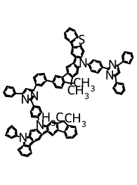 CC1(C)c2ccc(-c3cccc(-c4cc(-c5ccccc5)nc(-c5ccc(-n6c7cc8c(cc7c7cc9c%10ccccc%10n(-c%10ccccc%10)c9cc76)-c6ccccc6C8(C)C)cc5)n4)c3)cc2-c2cc3c4cc5c(cc4n(-c4ccc(-c6nc(-c7ccccc7)cc(-c7ccccc7)n6)cc4)c3cc21)sc1ccccc15